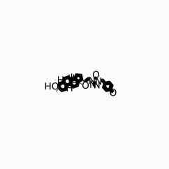 COc1ccc(Cn2nnn(CC(=O)[C@H]3CC[C@H]4[C@@H]5CC[C@@H]6C[C@](C)(O)CC[C@@H]6[C@H]5CC[C@]34C)c2=O)cc1